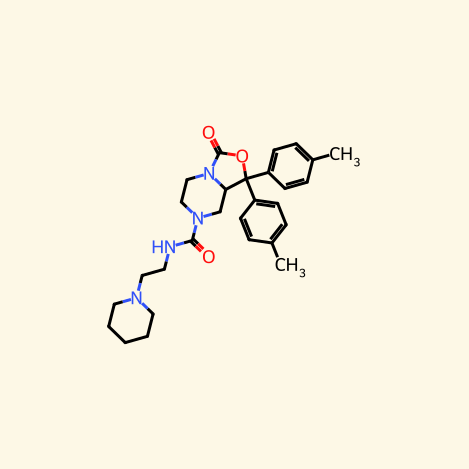 Cc1ccc(C2(c3ccc(C)cc3)OC(=O)N3CCN(C(=O)NCCN4CCCCC4)CC32)cc1